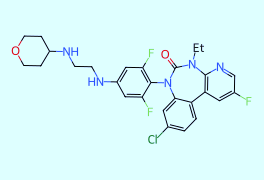 CCN1C(=O)N(c2c(F)cc(NCCNC3CCOCC3)cc2F)c2cc(Cl)ccc2-c2cc(F)cnc21